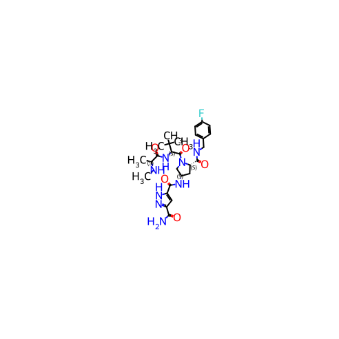 CN[C@@H](C)C(=O)N[C@H](C(=O)N1C[C@@H](NC(=O)c2cc(C(N)=O)n[nH]2)C[C@H]1C(=O)NCc1ccc(F)cc1)C(C)(C)C